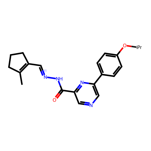 CC1=C(/C=N/NC(=O)c2cncc(-c3ccc(OC(C)C)cc3)n2)CCC1